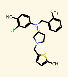 Cc1ccc(CN2CC[C@H](N(Cc3ccccc3C)c3ccc(C#N)c(Cl)c3)C2)s1